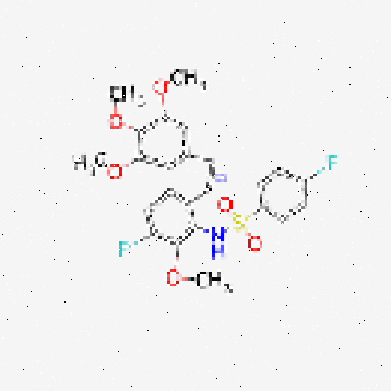 COc1cc(/C=C\c2ccc(F)c(OC)c2NS(=O)(=O)c2ccc(F)cc2)cc(OC)c1OC